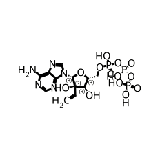 C=C[C@@]1(O)[C@H](O)[C@@H](COP(=O)(O)OP(=O)(O)OP(=O)(O)O)O[C@H]1n1cnc2c(N)ncnc21